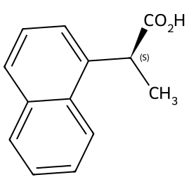 C[C@H](C(=O)O)c1cccc2ccccc12